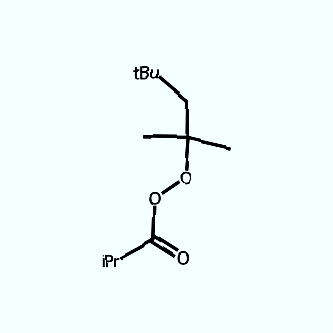 CC(C)C(=O)OOC(C)(C)CC(C)(C)C